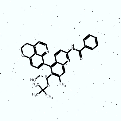 Cc1cc2nc(NC(=O)c3ccccc3)ccc2c(-c2ccc3c4c(ccnc24)CCO3)c1[C@@H](CO)OC(C)(C)C